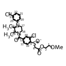 COCCOC(=O)C[S+]([O-])c1ccc(C(=O)N2CCN(c3cccc(Cl)c3)C(C)C2C)cc1Cl